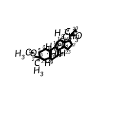 COC[C@@]1(C)CC[C@H]2[C@H](CC[C@@H]3[C@@H]2CC[C@]2(C)[C@@H](C4(C)CO4)CC[C@@H]32)C1